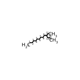 C=CCCCCCCCCC(CC)CCC